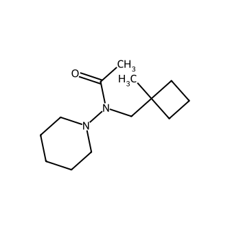 CC(=O)N(CC1(C)CCC1)N1CCCCC1